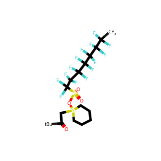 CC(C)(C)C(=O)CS1(OS(=O)(=O)C(F)(F)C(F)(F)C(F)(F)C(F)(F)C(F)(F)C(F)(F)C(F)(F)C(F)(F)F)CCCCC1